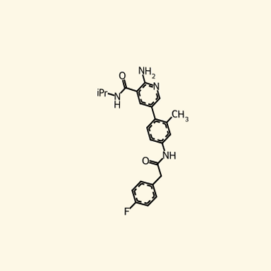 Cc1cc(NC(=O)Cc2ccc(F)cc2)ccc1-c1cnc(N)c(C(=O)NC(C)C)c1